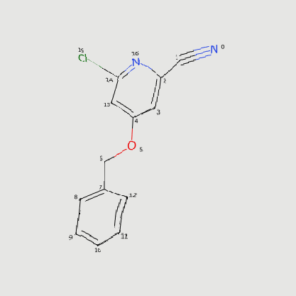 N#Cc1cc(OCc2ccccc2)cc(Cl)n1